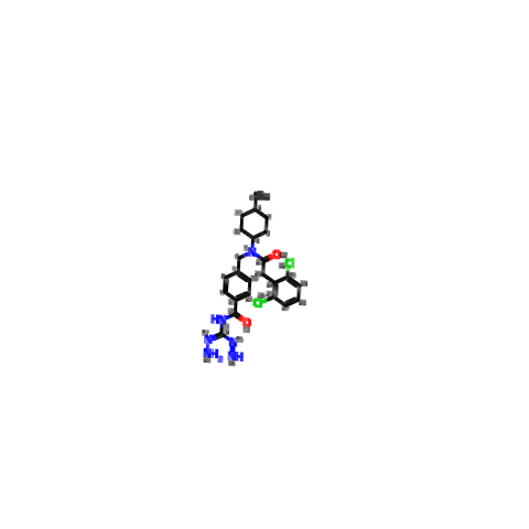 CC(C)(C)C1CCC(N(Cc2ccc(C(=O)N/C(N=N)=N/N)cc2)C(=O)Cc2c(Cl)cccc2Cl)CC1